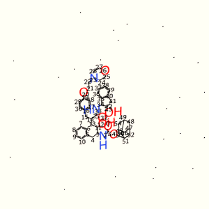 O=C(NC(Cc1ccccc1)C(O)CC(Cc1ccc(OCCN2CCOCC2)cc1)C(=O)NC1c2ccccc2CC1O)OC12CC3CC(CC(C3)C1)C2